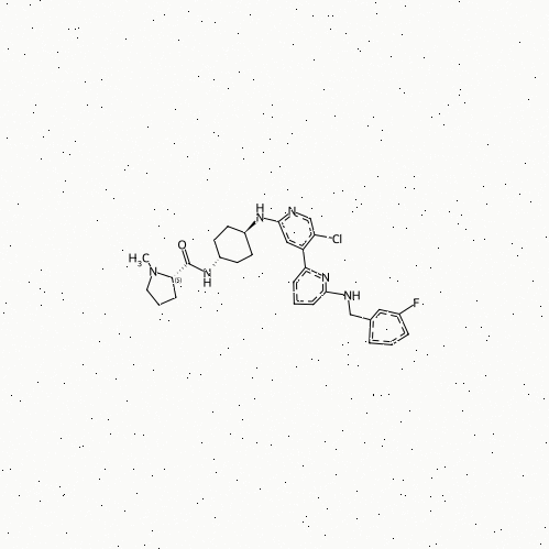 CN1CCC[C@H]1C(=O)N[C@H]1CC[C@H](Nc2cc(-c3cccc(NCc4cccc(F)c4)n3)c(Cl)cn2)CC1